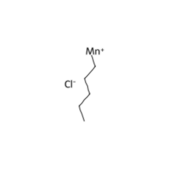 CCCC[CH2][Mn+].[Cl-]